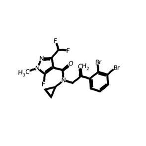 C=C(CN(C(=O)c1c(C(F)F)nn(C)c1F)C1CC1)c1cccc(Br)c1Br